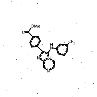 COC(=O)c1ccc(-c2nc3cnccn3c2Nc2cccc(C(F)(F)F)c2)cc1